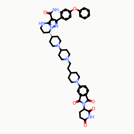 NC(=O)c1c(-c2ccc(Oc3ccccc3)cc2)nn2c1NCC[C@H]2C1CCN(C2CCN(CCC3CCN(c4ccc5c(c4)C(=O)N(C4CCC(=O)NC4=O)C5=O)CC3)CC2)CC1